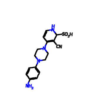 N#CC1=C(N2CCN(c3ccc(N)cc3)CC2)C=CNC1S(=O)(=O)O